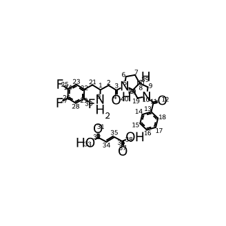 NC(CC(=O)N1CC[C@H]2CN(C(=O)c3ccccc3)C[C@H]21)Cc1cc(F)c(F)cc1F.O=C(O)C=CC(=O)O